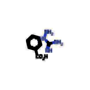 N=C(N)NN.O=C(O)c1ccccc1